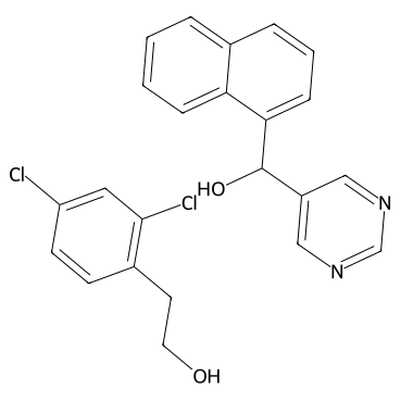 OC(c1cncnc1)c1cccc2ccccc12.OCCc1ccc(Cl)cc1Cl